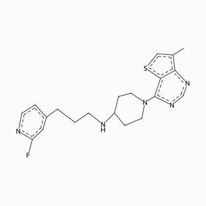 Cc1csc2c(N3CCC(NCCCc4ccnc(F)c4)CC3)ncnc12